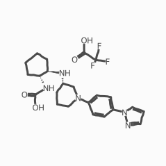 O=C(O)C(F)(F)F.O=C(O)N[C@@H]1CCCC[C@H]1N[C@H]1CCCN(c2ccc(-n3cccn3)cc2)C1